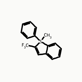 CS1(c2ccccc2)C(C(F)(F)F)=Cc2ccccc21